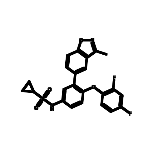 Cc1noc2ccc(-c3cc(NS(=O)(=O)C4CC4)ccc3Oc3ccc(F)cc3F)cc12